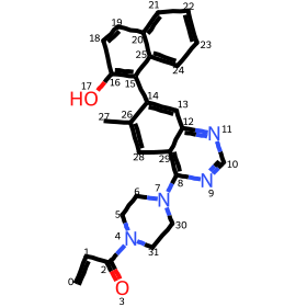 C=CC(=O)N1CCN(c2ncnc3cc(-c4c(O)ccc5ccccc45)c(C)cc23)CC1